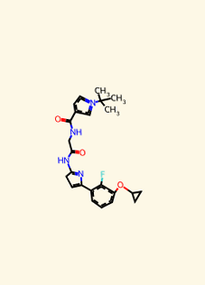 CC(C)(C)n1ccc(C(=O)NCC(=O)NC2=NC(c3cccc(OC4CC4)c3F)=CC2)c1